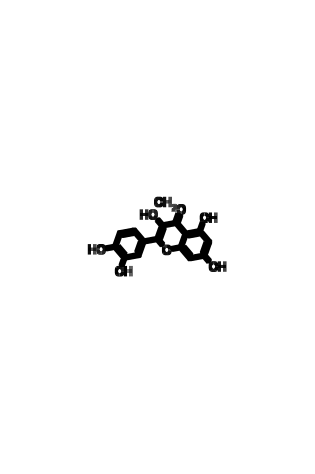 O.O=c1c(O)c(-c2ccc(O)c(O)c2)oc2cc(O)cc(O)c12